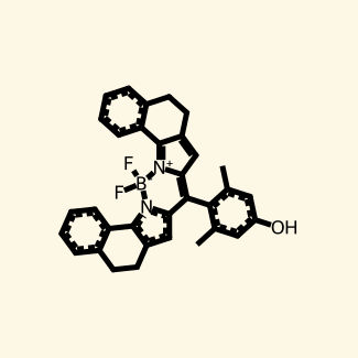 Cc1cc(O)cc(C)c1C1=C2C=C3CCc4ccccc4C3=[N+]2[B-](F)(F)n2c1cc1c2-c2ccccc2CC1